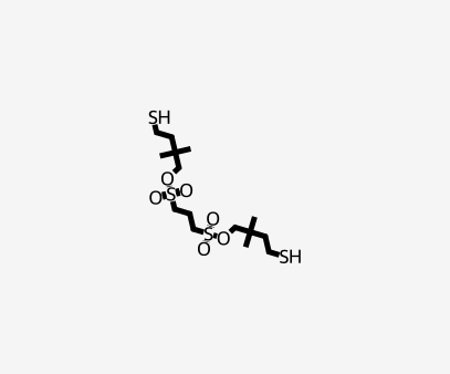 CC(C)(CCS)COS(=O)(=O)CCCS(=O)(=O)OCC(C)(C)CCS